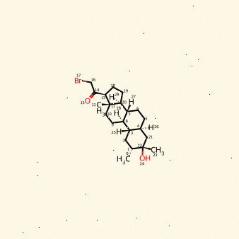 C[C@@H]1C[C@H]2[C@@H](CC[C@@H]3[C@@H]2CC[C@]2(C)[C@@H](C(=O)CBr)CC[C@@H]32)C[C@]1(C)O